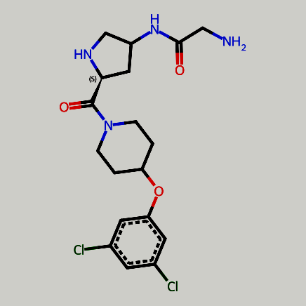 NCC(=O)NC1CN[C@H](C(=O)N2CCC(Oc3cc(Cl)cc(Cl)c3)CC2)C1